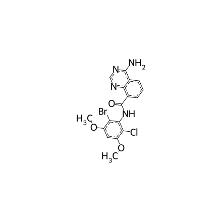 COc1cc(OC)c(Br)c(NC(=O)c2cccc3c(N)ncnc23)c1Cl